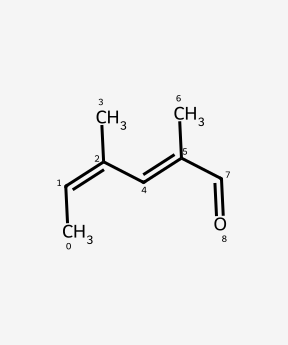 C/C=C(C)\C=C(/C)C=O